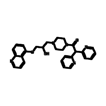 O=C(C(c1ccccn1)c1ccccn1)N1CCN(CC(O)COc2cccc3ncccc23)CC1